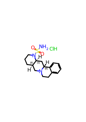 Cl.NS(=O)(=O)N1CCC[C@@H]2CN3CCc4ccccc4[C@H]3C[C@@H]21